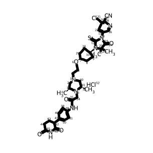 C[C@@H]1CN(CCO[C@H]2CC[C@H](N3C(=S)N(c4cnc(C#N)c(Cl)c4)C(=O)C3(C)C)CC2)C[C@H](C)N1CC(=O)Nc1ccc(C2CCC(=O)NC2=O)cc1.Cl